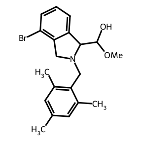 COC(O)C1c2cccc(Br)c2CN1Cc1c(C)cc(C)cc1C